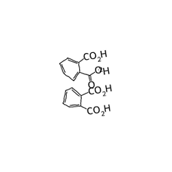 O=C(O)c1ccccc1C(=O)O.[2H]OC(=O)c1ccccc1C(=O)O